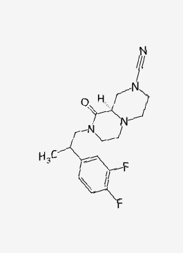 CC(CN1CCN2CCN(C#N)C[C@@H]2C1=O)c1ccc(F)c(F)c1